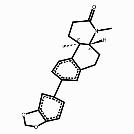 CN1C(=O)CC[C@]2(C)c3ccc(-c4ccc5c(c4)OCO5)cc3CC[C@@H]12